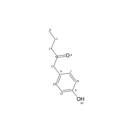 CCCC(=O)Cc1ccc(O)cc1